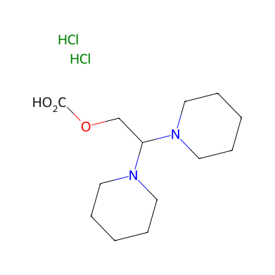 Cl.Cl.O=C(O)OCC(N1CCCCC1)N1CCCCC1